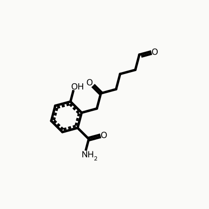 NC(=O)c1cccc(O)c1CC(=O)CCCC=O